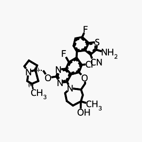 C[C@H]1CN2CCC[C@@]2(COc2nc3c4c(c(Cl)c(-c5ccc(F)c6sc(N)c(C#N)c56)c(F)c4n2)OCC2CC(C)(O)CCCN32)C1